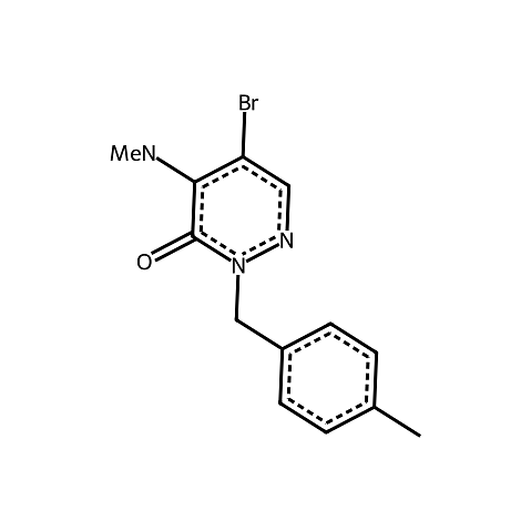 CNc1c(Br)cnn(Cc2ccc(C)cc2)c1=O